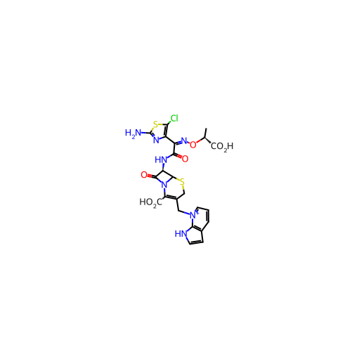 C[C@H](O/N=C(\C(=O)N[C@@H]1C(=O)N2C(C(=O)O)=C(C[n+]3cccc4cc[nH]c43)CSC12)c1nc(N)sc1Cl)C(=O)O